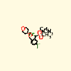 CC(C)(C)OC(=O)C(Br)c1cc(F)ccc1COC1CCOCC1